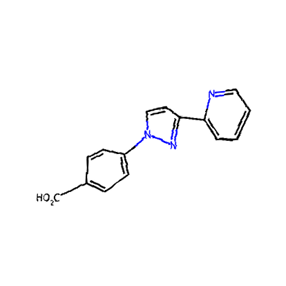 O=C(O)c1ccc(-n2ccc(-c3ccccn3)n2)cc1